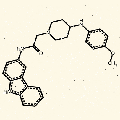 COc1ccc(NC2CCN(CC(=O)Nc3ccc4[nH]c5ccccc5c4c3)CC2)cc1